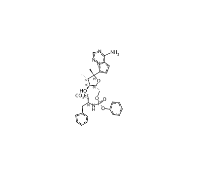 CCOC(=O)[C@H](Cc1ccccc1)NP(=O)(OC[C@H]1O[C@@](C)(c2ccc3c(N)ncnn23)[C@@H](C)[C@@H]1O)Oc1ccccc1